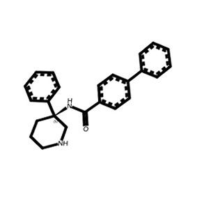 O=C(N[C@]1(c2ccccc2)CCCNC1)c1ccc(-c2ccccc2)cc1